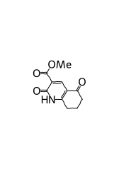 COC(=O)c1cc2c([nH]c1=O)CCCC2=O